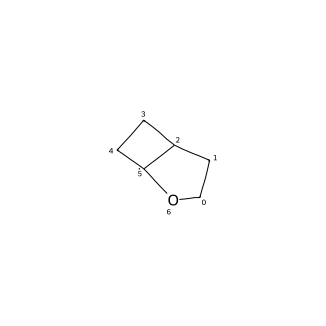 C1CC2CC[C]2O1